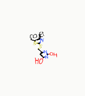 CCOC(=O)Cc1sc(SCc2cc(O)nc(O)n2)nc1C